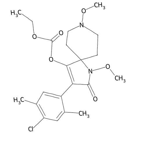 CCOC(=O)OC1=C(c2cc(C)c(Cl)cc2C)C(=O)N(OC)C12CCN(OC)CC2